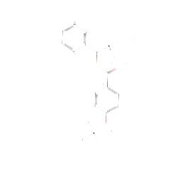 CCC(C)(C)Oc1ccc(C(=O)OC(c2ccccc2)C(F)(F)C(=O)O)cc1